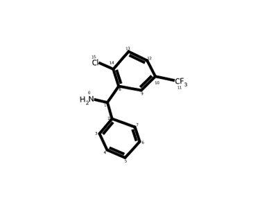 NC(c1ccccc1)c1cc(C(F)(F)F)ccc1Cl